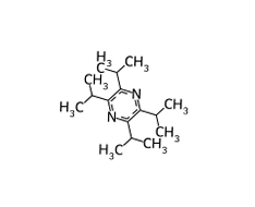 CC(C)c1nc(C(C)C)c(C(C)C)nc1C(C)C